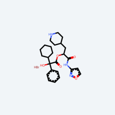 Br.O=C(Nc1ccon1)C(CC1CCNCC1)OC(=O)C(O)(c1ccccc1)C1CCCCC1